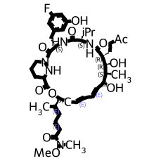 CON(C)C(=O)/C=C/C=C(\C)[C@@H]1C/C=C/C=C/[C@H](O)[C@H](C)[C@@H](O)[C@@H](CCC(C)=O)C(=O)N[C@@H](C(C)C)C(=O)N[C@@H](Cc2cc(O)cc(F)c2)C(=O)N2CCCC(N2)C(=O)O1